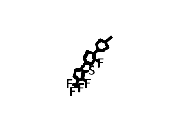 CC1CCC(c2ccc3c(sc4c(F)c(C(F)(F)F)ccc43)c2F)CC1